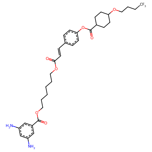 Nc1cc(N)cc(C(=O)OCCCCCCOC(=O)C=Cc2ccc(OC(=O)C3CCC(OCCCC(F)(F)F)CC3)cc2)c1